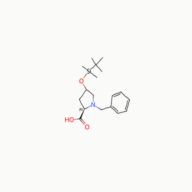 CC(C)(C)[Si](C)(C)OC1C[C@H](C(=O)O)N(Cc2ccccc2)C1